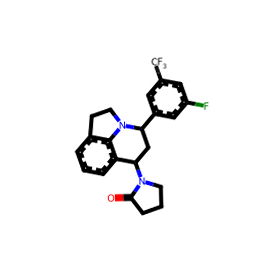 O=C1CCCN1C1CC(c2cc(F)cc(C(F)(F)F)c2)N2CCc3cccc1c32